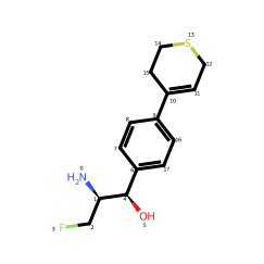 N[C@H](CF)[C@H](O)c1ccc(C2=CCSCC2)cc1